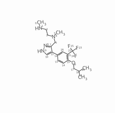 CNCCN(C)Cc1n[nH]cc1-c1ccc(OCC(C)C)c(C(F)(F)F)c1